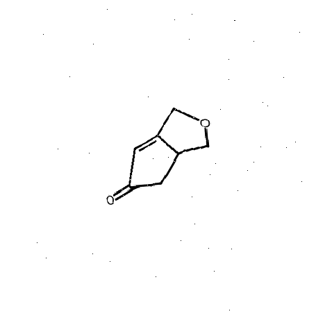 O=C1C=C2COCC2C1